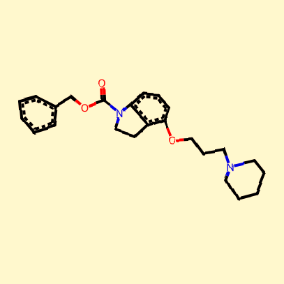 O=C(OCc1ccccc1)N1CCc2c(OCCCN3CCCCC3)cccc21